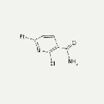 CCc1ccc(C(N)=O)c(Cl)n1